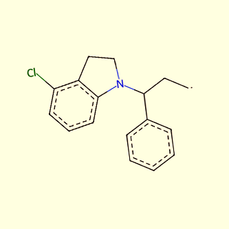 [CH2]CC(c1ccccc1)N1CCc2c(Cl)cccc21